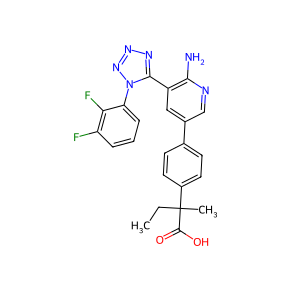 CCC(C)(C(=O)O)c1ccc(-c2cnc(N)c(-c3nnnn3-c3cccc(F)c3F)c2)cc1